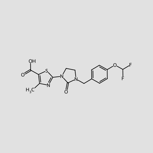 Cc1nc(N2CCN(Cc3ccc(OC(F)F)cc3)C2=O)sc1C(=O)O